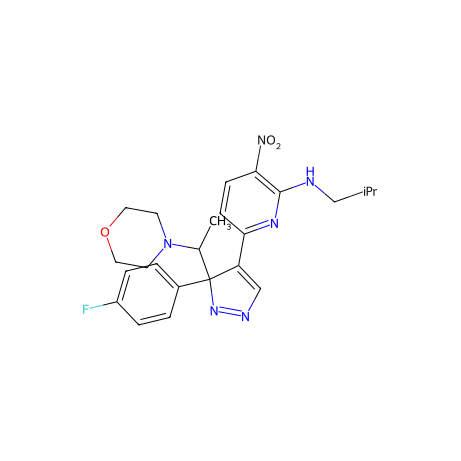 CC(C)CNc1nc(C2=CN=NC2(c2ccc(F)cc2)C(C)N2CCOCC2)ccc1[N+](=O)[O-]